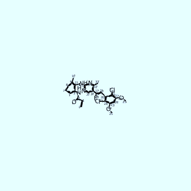 C=CC(=O)Nc1cccc(C)c1Nc1ncc(/C(F)=C/c2c(Cl)c(OC)cc(OC)c2Cl)c(C)n1